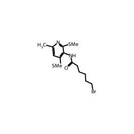 CSc1cc(C)nc(SC)c1NC(=O)CCCCCBr